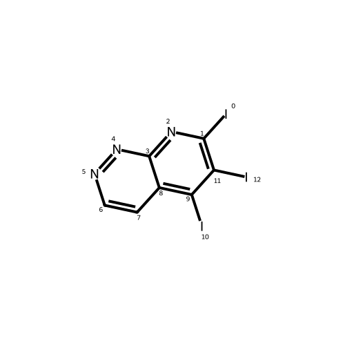 Ic1nc2nnccc2c(I)c1I